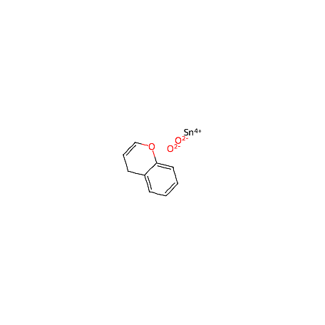 C1=COc2ccccc2C1.[O-2].[O-2].[Sn+4]